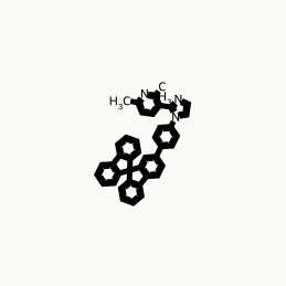 Cc1ccc(-c2nccn2-c2ccc(-c3ccc4c(c3)C3(c5ccccc5-c5ccccc53)c3ccccc3-4)cc2)c(C)n1